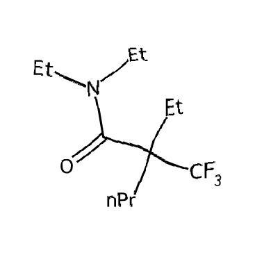 CCCC(CC)(C(=O)N(CC)CC)C(F)(F)F